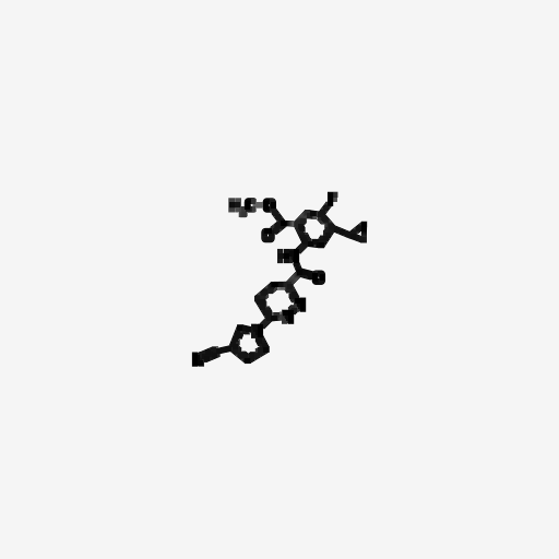 COC(=O)c1cc(F)c(C2CC2)cc1NC(=O)c1ccc(-n2ccc(C#N)c2)nn1